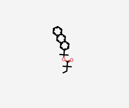 CCC(C)(C)C(=O)OC(C)(C)c1ccc2cc3ccccc3cc2c1